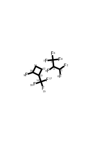 FC(F)C(F)C(F)(F)F.FC1CCC1C(F)(F)F